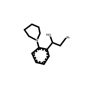 CC(C)CC(O)c1ccccc1N1CCCCC1